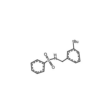 CC(C)(C)c1cccc(CNS(=O)(=O)c2ccccc2)c1